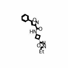 CCc1nnc([C@H]2C[C@H](NC(=O)c3cc(-c4ccccc4)on3)C2)o1